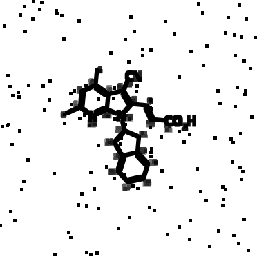 Cc1cc(C)c2c(C#N)c(/C=C/C(=O)O)n(C3Cc4ccccc4C3)c2n1